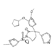 COc1ccc(C2(Cc3ccncc3)CCN(S(=O)(=O)c3ccc(C)cc3)C2=O)cc1OC1CCCC1